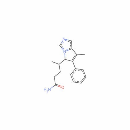 CC1=C(c2ccccc2)C(C(C)CCC(N)=O)n2cncc21